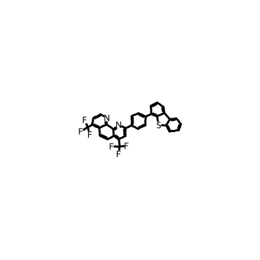 FC(F)(F)c1ccnc2c1ccc1c(C(F)(F)F)cc(-c3ccc(-c4cccc5c4sc4ccccc45)cc3)nc12